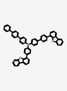 c1ccc(-c2ccc(-c3ccc(N(c4ccc(-c5ccc(-c6cccc7c6oc6ccccc67)cc5)cc4)c4ccc(-c5cccc6c5oc5ccccc56)cc4)cc3)cc2)cc1